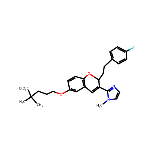 CCOC(=O)C(C)(C)CCCOc1ccc2c(c1)C=C(c1nccn1C)C(CCc1ccc(F)cc1)O2